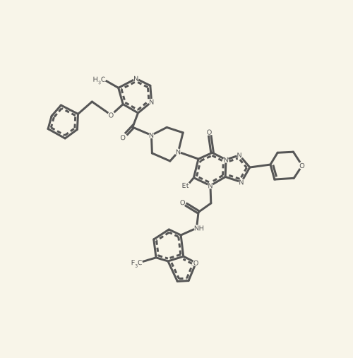 CCc1c(N2CCN(C(=O)c3ncnc(C)c3OCc3ccccc3)CC2)c(=O)n2nc(C3=CCOCC3)nc2n1CC(=O)Nc1ccc(C(F)(F)F)c2ccoc12